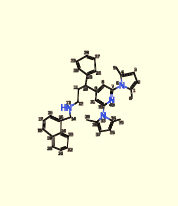 Cc1ccc(C)n1-c1cc(C(CCNCc2cccc3ccccc23)c2ccccc2)cc(-n2c(C)ccc2C)n1